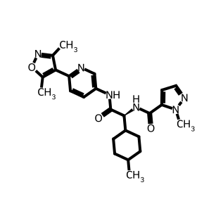 Cc1noc(C)c1-c1ccc(NC(=O)[C@@H](NC(=O)c2ccnn2C)C2CCC(C)CC2)cn1